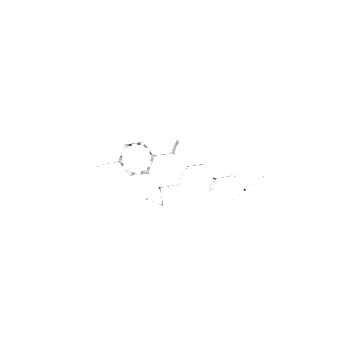 CC(C)(C#N)NC(=O)CN1CC2(CC2)c2cc(Br)ccc2C1=O